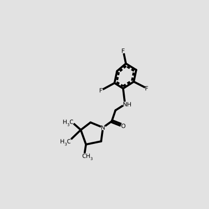 CC1CN(C(=O)CNc2c(F)cc(F)cc2F)CC1(C)C